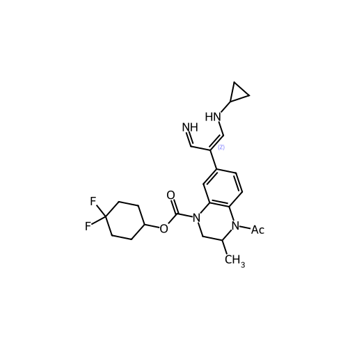 CC(=O)N1c2ccc(/C(C=N)=C/NC3CC3)cc2N(C(=O)OC2CCC(F)(F)CC2)CC1C